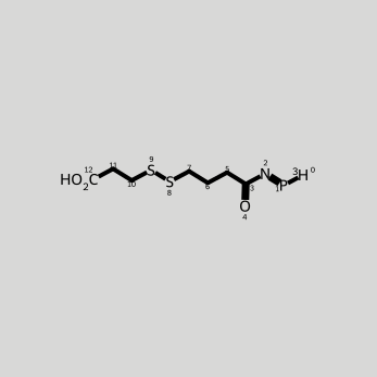 [3H]/P=N/C(=O)CCCSSCCC(=O)O